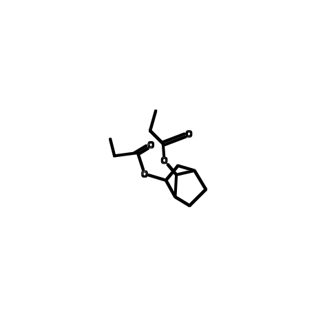 CCC(=O)OC1CC2CCC1C2OC(=O)CC